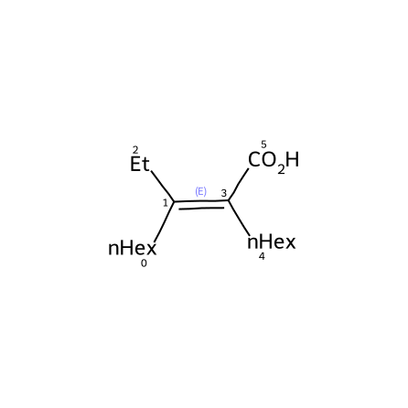 CCCCCC/C(CC)=C(\CCCCCC)C(=O)O